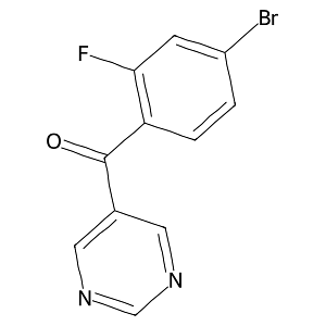 O=C(c1cncnc1)c1ccc(Br)cc1F